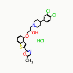 Cc1cnc(-c2cc3c(OC[C@@H](O)CN4CCC(c5ccc(Cl)c(Cl)c5)CC4)cccc3s2)o1.Cl